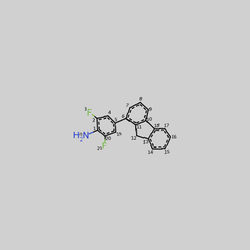 Nc1c(F)cc(-c2cccc3c2Cc2ccccc2-3)cc1F